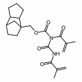 C=C(C)C(=O)NC(=O)N(C(=O)OCC12CCC(C1)C1CCCC12)C(=O)C(=C)C